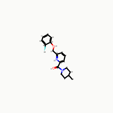 CC1CCN(C(=O)c2cccc(COc3ccccc3F)n2)CC1